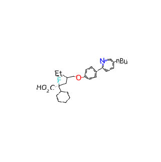 CCCCc1ccc(-c2ccc(OCC(CC)C[C@@](F)(C(=O)O)C3CCCCC3)cc2)nc1